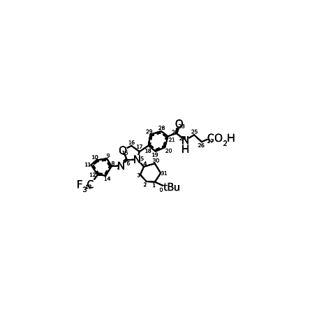 CC(C)(C)C1CCC(N2C(=Nc3cccc(C(F)(F)F)c3)OCC2c2ccc(C(=O)NCCC(=O)O)cc2)CC1